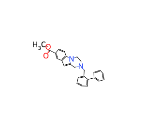 COC(=O)c1ccc2c(c1)cc1n2CCN(Cc2ccccc2-c2ccccc2)C1